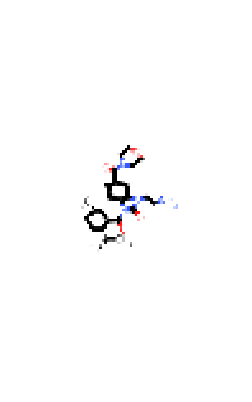 CC(C)[C@@H]1CC[C@@H](C)CC1C(=O)n1c(=O)n(CCN)c2cc(C(=O)N3CCOCC3)ccc21